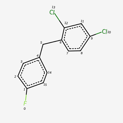 Fc1ccc(Cc2ccc(Cl)[c]c2Cl)cc1